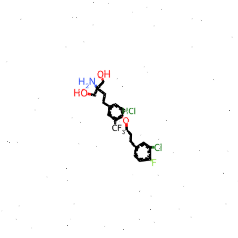 Cl.NC(CO)(CO)CCc1ccc(OCCCc2ccc(F)c(Cl)c2)c(C(F)(F)F)c1